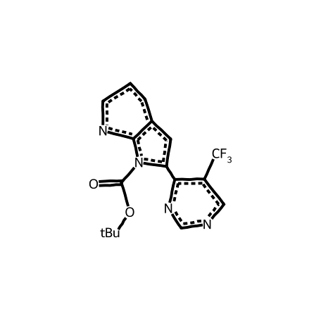 CC(C)(C)OC(=O)n1c(-c2ncncc2C(F)(F)F)cc2cccnc21